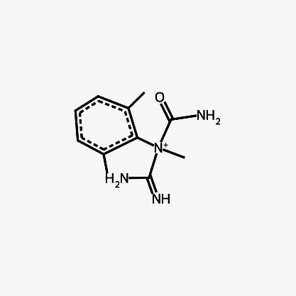 Cc1cccc(C)c1[N+](C)(C(=N)N)C(N)=O